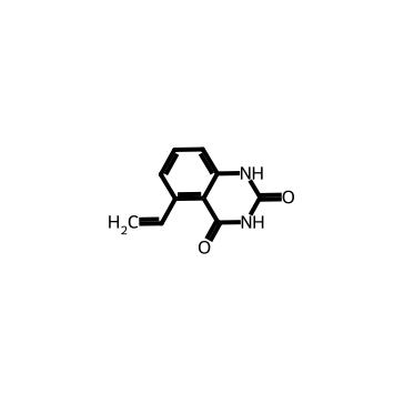 C=Cc1cccc2[nH]c(=O)[nH]c(=O)c12